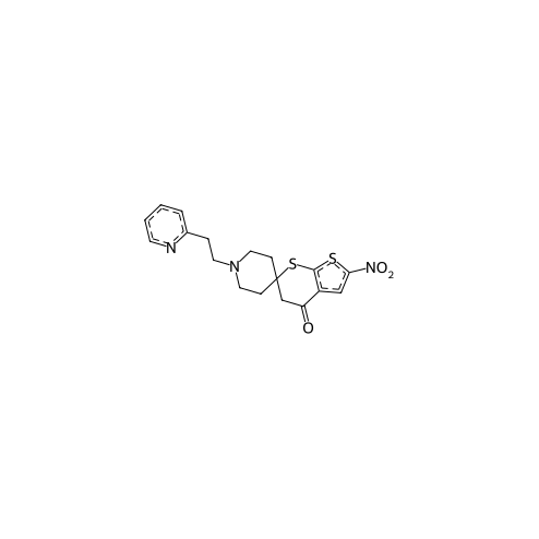 O=C1CC2(CCN(CCc3ccccn3)CC2)Sc2sc([N+](=O)[O-])cc21